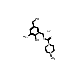 COc1cc(CO)cc(CSC(=S)N2CCN(C)CC2)c1O.Cl